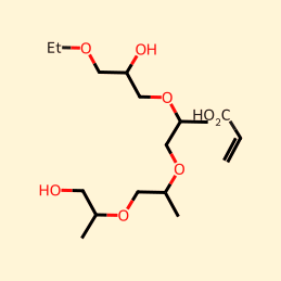 C=CC(=O)O.CCOCC(O)COC(C)COC(C)COC(C)CO